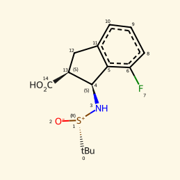 CC(C)(C)[S@+]([O-])N[C@@H]1c2c(F)cccc2C[C@@H]1C(=O)O